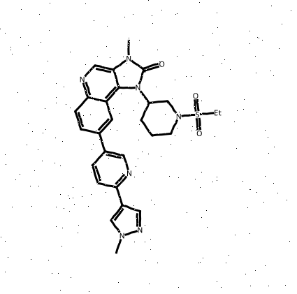 CCS(=O)(=O)N1CCCC(n2c(=O)n(C)c3cnc4ccc(-c5ccc(-c6cnn(C)c6)nc5)cc4c32)C1